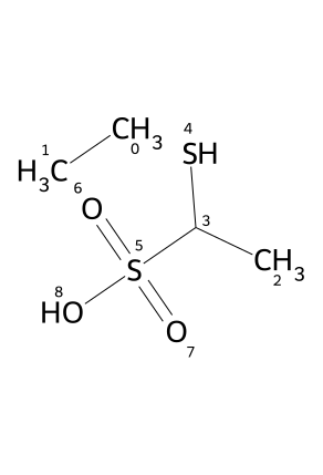 CC.CC(S)S(=O)(=O)O